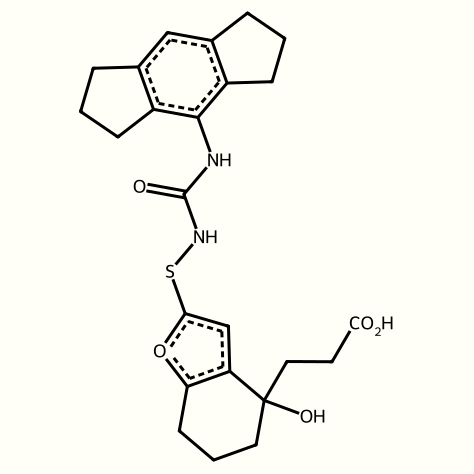 O=C(O)CCC1(O)CCCc2oc(SNC(=O)Nc3c4c(cc5c3CCC5)CCC4)cc21